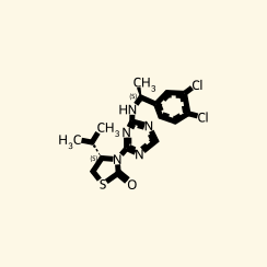 CC(C)[C@H]1CSC(=O)N1c1ncnc(N[C@@H](C)c2ccc(Cl)c(Cl)c2)n1